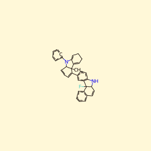 CC12C3=CCCC=C3N(c3ccccc3)C1C=CC=C2c1ccc2c(c1)C1(F)c3ccccc3C=CC1N2